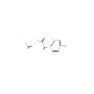 CCCC(C)=NN(C)C(=O)C(=O)c1c(CC)cc(C)cc1CC